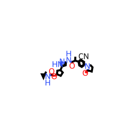 CC(C(=O)Nc1cc(C2CCC(OC(=O)NC3(C)CC3)C2)[nH]n1)c1ccc(N2CCCC2=O)cc1C#N